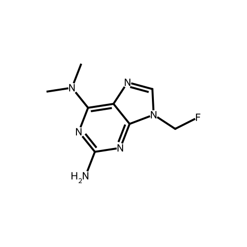 CN(C)c1nc(N)nc2c1ncn2CF